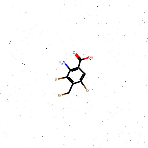 Nc1c(C(=O)O)cc(Br)c(CBr)c1Br